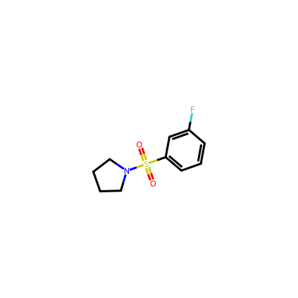 O=S(=O)(c1cccc(F)c1)N1CCCC1